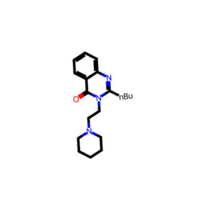 CCCCc1nc2ccccc2c(=O)n1CCN1CCCCC1